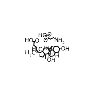 C[C@H](CCC(=O)O)[C@H]1CC[C@H]2[C@@H]3[C@@H](O)C[C@@H]4C[C@H](O)CC[C@]4(C)[C@H]3CC[C@]12C.NCCS(=O)(=O)O